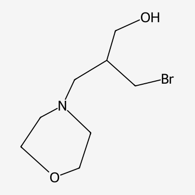 OCC(CBr)CN1CCOCC1